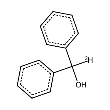 [2H]C(O)(c1ccccc1)c1ccccc1